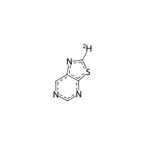 [2H]c1nc2cncnc2s1